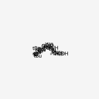 Cc1cc(C(=O)Nc2cccc(-c3cccc(NC(=O)c4ccc(CN(CCO[Si](C)(C)C(C)(C)C)C(=O)OC(C)(C)C)cn4)c3C)c2Cl)nc2c1CCN(C1CCC(O)CC1)C2